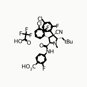 CN1[C@@H](CC(C)(C)C)[C@](C#N)(c2ccc(Cl)cc2F)[C@@H](c2cccc(Cl)c2F)[C@@H]1C(=O)Nc1ccc(C(=O)O)c(F)c1.O=C(O)C(F)(F)F